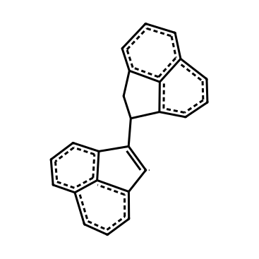 [C]1=C(C2Cc3cccc4cccc2c34)c2cccc3cccc1c23